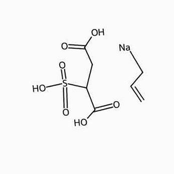 C=C[CH2][Na].O=C(O)CC(C(=O)O)S(=O)(=O)O